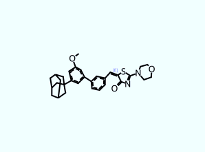 COc1cc(-c2cccc(/C=C3/SC(N4CCOCC4)=NC3=O)c2)cc(C23CC4CC(CC(C4)C2)C3)c1